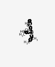 Cc1cc(CC(OC(=O)N2CCC(N3CCc4ccccc4NC3=O)CC2)C(=O)N2CCC(C)(N3CCN(C)CC3)CC2)cc(C)c1O